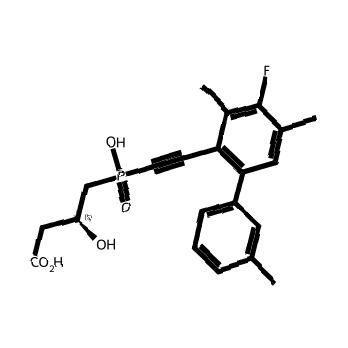 Cc1cccc(-c2cc(C)c(F)c(C)c2C#CP(=O)(O)C[C@@H](O)CC(=O)O)c1